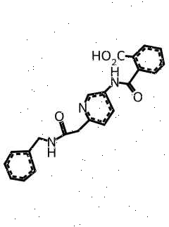 O=C(Cc1ccc(NC(=O)c2ccccc2C(=O)O)cn1)NCc1ccccc1